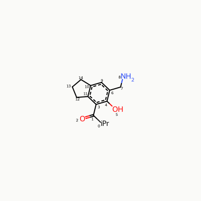 CC(C)C(=O)c1c(O)c(CN)cc2c1CCC2